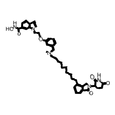 CN(CCCCCCCCCCc1cccc2c1CN(C1CCC(=O)NC1=O)C2=O)Cc1cccc(OCCn2ccc3ccc(C(=O)NO)cc32)c1